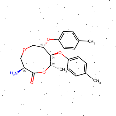 Cc1ccc(O[C@H]2[C@H](C)OC(=O)[C@@H](N)COC[C@@H]2Oc2ccc(C)cc2)cc1